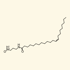 CCCCCCCC/C=C\CCCCCCCCCCCC(=O)NCCC[NH2+][O-]